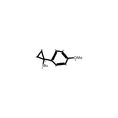 COc1ccc(C2(C(C)(C)C)CC2)cc1